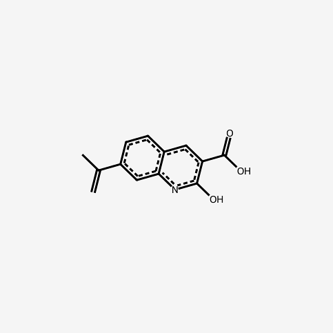 C=C(C)c1ccc2cc(C(=O)O)c(O)nc2c1